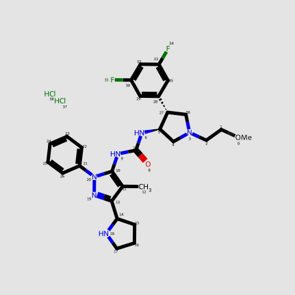 COCCN1C[C@@H](NC(=O)Nc2c(C)c(C3CCCN3)nn2-c2ccccc2)[C@H](c2cc(F)cc(F)c2)C1.Cl.Cl